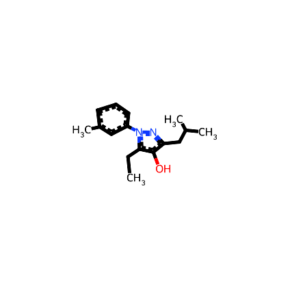 CCc1c(O)c(CC(C)C)nn1-c1cccc(C)c1